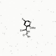 CCC(N[S@+]([O-])C(C)C)c1cc(F)cnc1OC